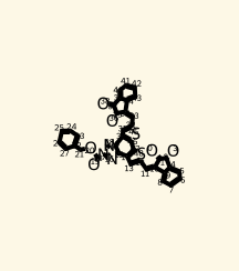 O=C1C(=O)c2ccccc2/C1=C/c1cc2c3nn(C(=O)OCc4ccccc4)nc3c3cc(/C=C4\C(=O)C(=O)c5ccccc54)sc3c2s1